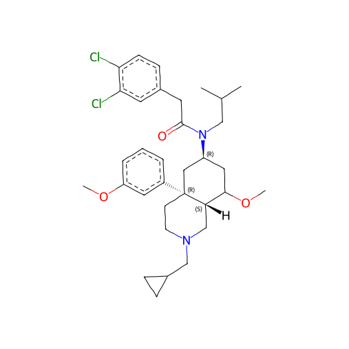 COc1cccc([C@@]23CCN(CC4CC4)C[C@H]2C(OC)C[C@H](N(CC(C)C)C(=O)Cc2ccc(Cl)c(Cl)c2)C3)c1